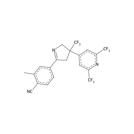 Cc1cc(C2=NCC(c3cc(C(F)(F)F)nc(C(F)(F)F)c3)(C(F)(F)F)C2)ccc1C#N